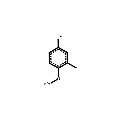 CCCOc1ccc([C](C)C)cc1C